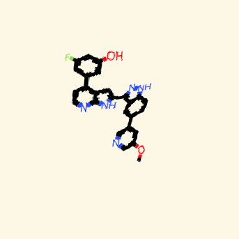 COc1cncc(-c2ccc3[nH]nc(-c4cc5c(-c6cc(O)cc(F)c6)ccnc5[nH]4)c3c2)c1